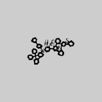 Cc1ccccc1-c1c(C)c(-c2ccc(N(c3ccc(-c4ccccc4)cc3)c3ccc4c(c3)C(c3ccccc3)(c3ccccc3)c3ccccc3-4)cc2)cc2c3ccccc3n(-c3ccc4sc5ccccc5c4c3)c12